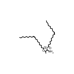 CCCCCCCC/C=C\CCCCCCCC(=O)OC(C)C(N)OC(=O)CCCCCCC/C=C\CCCCCCCC